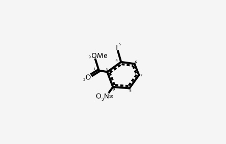 COC(=O)c1c(I)cccc1[N+](=O)[O-]